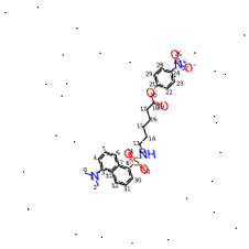 CN(C)c1cccc2c(S(=O)(=O)NCCCCCC(=O)Oc3ccc([N+](=O)[O-])cc3)cccc12